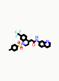 Cc1ccc(S(=O)(=O)N2CC/C(=C\C(=O)Nc3ccc4cccnc4c3)c3ccc(C(F)(F)F)cc32)cc1